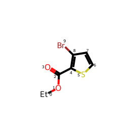 CCOC(=O)c1sccc1Br